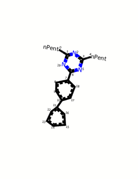 CCCCCc1nc(CCCCC)nc(-c2ccc(-c3ccccc3)cc2)n1